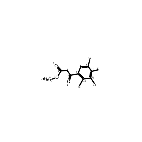 CCCCCCOC(=O)CC(=O)c1cc(C)c(C)c(C)c1C